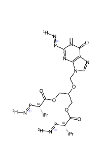 [1H]/N=P/c1nc2c(ncn2COC(COC(=O)[C@@H](/P=N/[2H])C(C)C)COC(=O)[C@@H](/P=N/[2H])C(C)C)c(=O)[nH]1